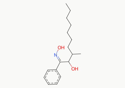 CCCCCCCC(C)C(O)C(=NO)c1ccccc1